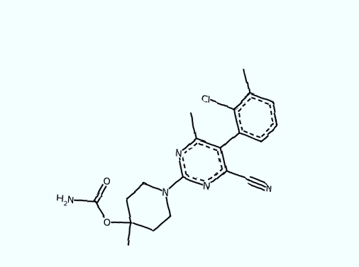 Cc1cccc(-c2c(C)nc(N3CCC(C)(OC(N)=O)CC3)nc2C#N)c1Cl